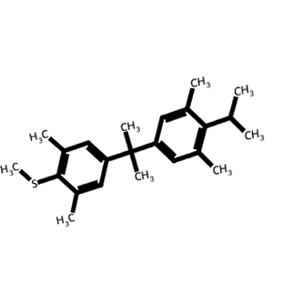 CSc1c(C)cc(C(C)(C)c2cc(C)c(C(C)C)c(C)c2)cc1C